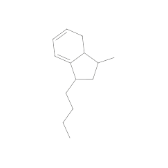 CCCCC1CC(C)C2CC=CC=C12